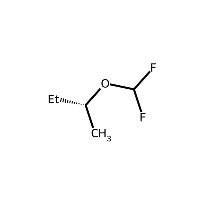 CC[C@@H](C)OC(F)F